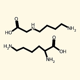 NCCCCC(N)C(=O)O.NCCCCNCC(=O)O